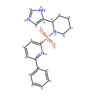 O=S(=O)(c1cccc(-c2ccccc2)n1)N1CCCCC1c1cnc[nH]1